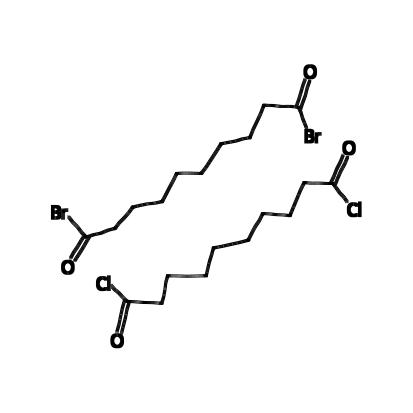 O=C(Br)CCCCCCCCC(=O)Br.O=C(Cl)CCCCCCCCC(=O)Cl